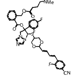 CNCCCC(=O)OCc1ccccc1C(=O)OC(Cn1cncn1)(c1ccc(F)cc1F)C(C)SC1COC(C=CC=Cc2ccc(C#N)cc2F)OC1